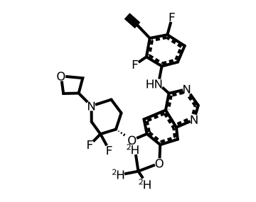 [2H]C([2H])([2H])Oc1cc2ncnc(Nc3ccc(F)c(C#C)c3F)c2cc1O[C@H]1CCN(C2COC2)CC1(F)F